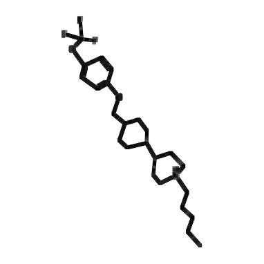 CCCCC[SiH]1CCC(C2CCC(COc3ccc(OC(F)(F)F)cc3)CC2)CC1